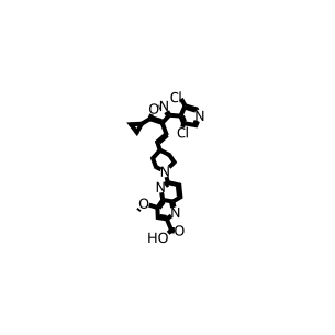 COc1cc(C(=O)O)nc2ccc(N3CCC(/C=C/c4c(-c5c(Cl)cncc5Cl)noc4C4CC4)CC3)nc12